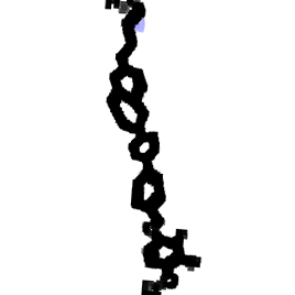 C/C=C/CCC1CCC2CC(C3CCC(c4ccc(COc5ccc(OCC)c(F)c5F)cc4)CC3)CCC2C1